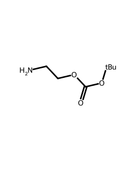 CC(C)(C)OC(=O)OCCN